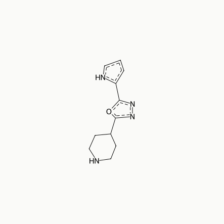 c1c[nH]c(-c2nnc(C3CCNCC3)o2)c1